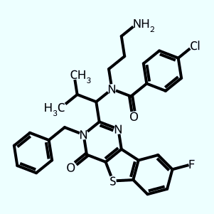 CC(C)C(c1nc2c(sc3ccc(F)cc32)c(=O)n1Cc1ccccc1)N(CCCN)C(=O)c1ccc(Cl)cc1